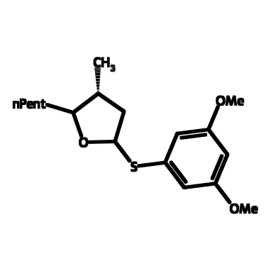 CCCCCC1OC(Sc2cc(OC)cc(OC)c2)C[C@H]1C